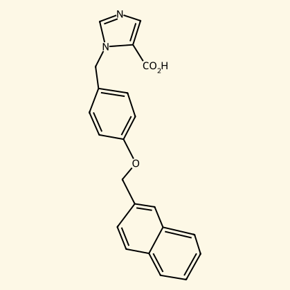 O=C(O)c1cncn1Cc1ccc(OCc2ccc3ccccc3c2)cc1